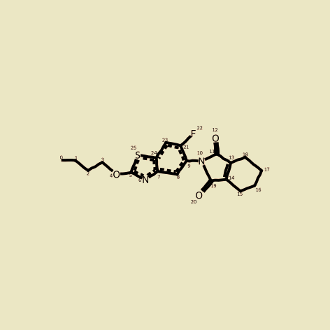 CCCCOc1nc2cc(N3C(=O)C4=C(CCCC4)C3=O)c(F)cc2s1